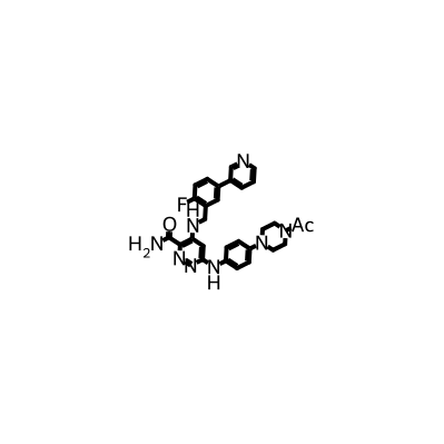 CC(=O)N1CCN(c2ccc(Nc3cc(NCc4cc(-c5cccnc5)ccc4F)c(C(N)=O)nn3)cc2)CC1